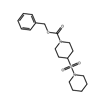 O=C(OCc1ccccc1)N1CCC(S(=O)(=O)N2CC[CH]CC2)CC1